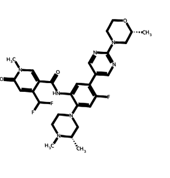 C[C@@H]1CN(c2ncc(-c3cc(NC(=O)c4cn(C)c(=O)cc4C(F)F)c(N4CCN(C)[C@@H](C)C4)cc3F)cn2)CCO1